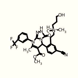 COC(=O)C1=C(C)N(c2cccc(C(F)(F)F)c2)c2n[nH]c(=O)n2C1c1ccc(C#N)cc1CC[N+](C)(C)CCCO